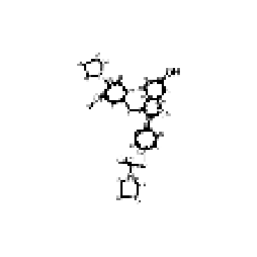 COc1cc(Cc2c(-c3ccc(OC(=O)N4CCCC4)cc3)sc3cc(O)ccc23)ccc1N1CCCC1